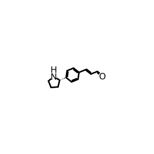 O=C/C=C/c1ccc([C@@H]2CCCN2)cc1